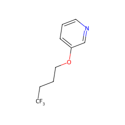 FC(F)(F)CCCOc1cccnc1